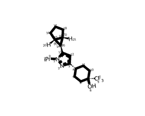 CC(C)n1nc([C@H]2CC[C@@](O)(C(F)(F)F)CC2)cc1[C@H]1[C@@H]2CCC[C@@H]21